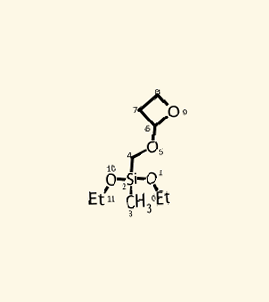 CCO[Si](C)(COC1CCO1)OCC